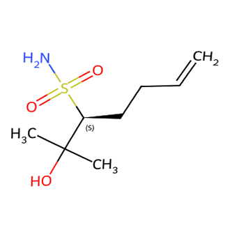 C=CCC[C@@H](C(C)(C)O)S(N)(=O)=O